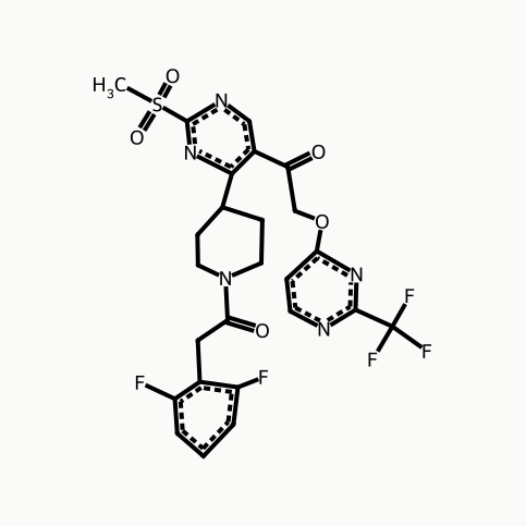 CS(=O)(=O)c1ncc(C(=O)COc2ccnc(C(F)(F)F)n2)c(C2CCN(C(=O)Cc3c(F)cccc3F)CC2)n1